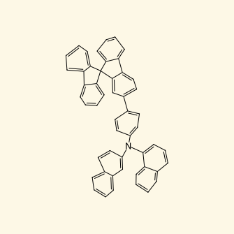 c1ccc2c(c1)-c1ccccc1C21c2ccccc2-c2ccc(-c3ccc(N(c4ccc5ccccc5c4)c4cccc5ccccc45)cc3)cc21